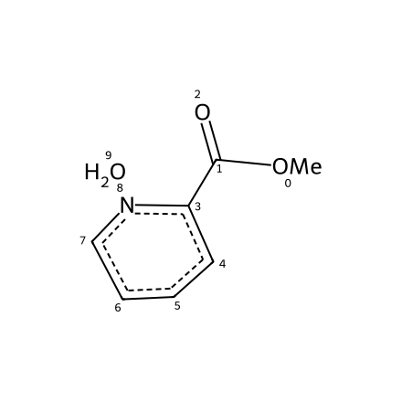 COC(=O)c1ccccn1.O